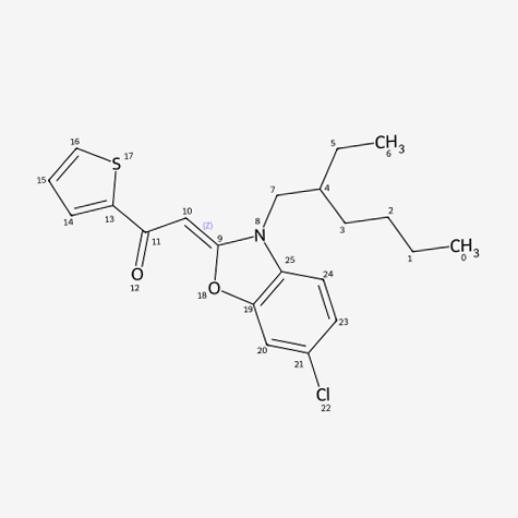 CCCCC(CC)CN1/C(=C/C(=O)c2cccs2)Oc2cc(Cl)ccc21